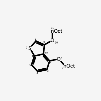 CCCCCCCCOc1cccc2scc(OCCCCCCCC)c12